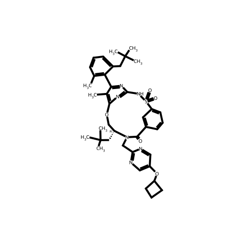 Cc1cccc(CC(C)(C)C)c1-c1nc2nc(c1C)OC[C@@H](CC(C)(C)C)N(Cc1ncc(OC3CCC3)cn1)C(=O)c1cccc(c1)S(=O)(=O)N2